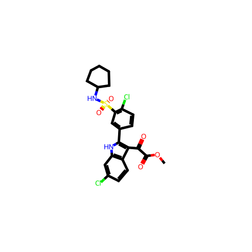 COC(=O)C(=O)c1c(-c2ccc(Cl)c(S(=O)(=O)NC3CCCCC3)c2)[nH]c2cc(Cl)ccc12